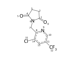 O=C1CCC(=O)N1Cc1ncc(C(F)(F)F)cc1Cl